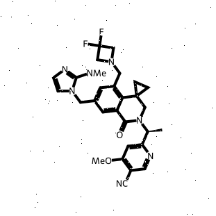 CNc1nccn1Cc1cc(CN2CC(F)(F)C2)c2c(c1)C(=O)N([C@@H](C)c1cc(OC)c(C#N)cn1)CC21CC1